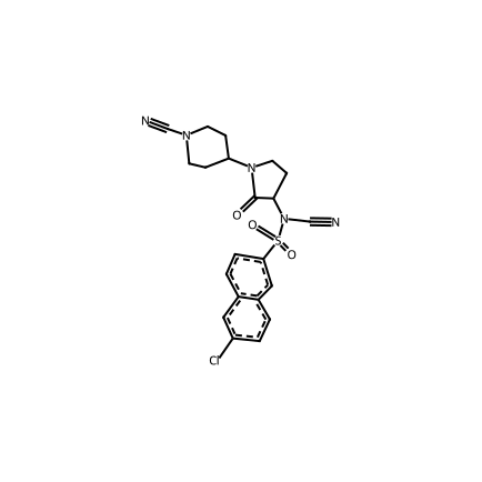 N#CN1CCC(N2CCC(N(C#N)S(=O)(=O)c3ccc4cc(Cl)ccc4c3)C2=O)CC1